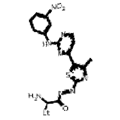 CC[C@@H](N)C(=O)N=Nc1nc(C)c(-c2ccnc(NC3=CC([N+](=O)[O-])=CCC3)n2)s1